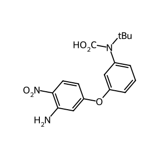 CC(C)(C)N(C(=O)O)c1cccc(Oc2ccc([N+](=O)[O-])c(N)c2)c1